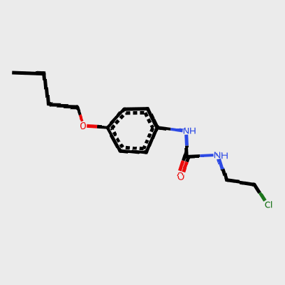 CCCCOc1ccc(NC(=O)NCCCl)cc1